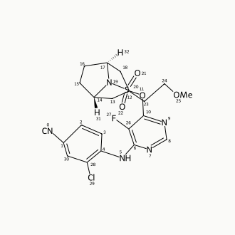 [C-]#[N+]c1ccc(Nc2ncnc(OC3C[C@@H]4CC[C@@H](C3)N4S(=O)(=O)CCOC)c2F)c(Cl)c1